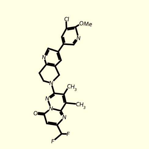 COc1ncc(-c2cnc3c(c2)CN(c2nn4c(=O)cc(C(F)F)nc4c(C)c2C)CC3)cc1Cl